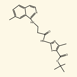 Cc1ccc2ccnc(NCCC(=O)Nc3nc(C)c(C(=O)OC(C)(C)C)s3)c2c1